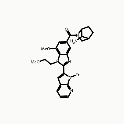 CCn1c(-c2nc3cc(C(=O)N4CC5CCC4C5N)cc(OC)c3n2CCOC)cc2cccnc21